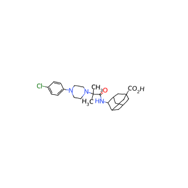 CC(C)(C(=O)NC1C2CC3CC1CC(C(=O)O)(C3)C2)N1CCN(c2ccc(Cl)cc2)CC1